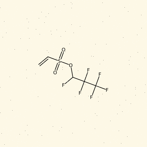 C=CS(=O)(=O)OC(F)C(F)(F)C(F)(F)F